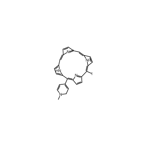 CN1C=CC(c2c3nc(c(I)c4ccc(cc5nc(cc6ccc2[nH]6)C=C5)[nH]4)C=C3)=CC1